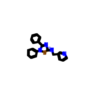 c1ccc(-c2n/c(=N/Cc3cccnc3)sn2-c2ccccc2)cc1